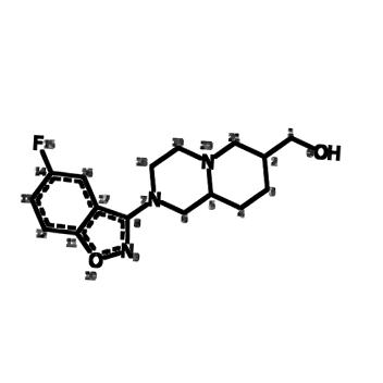 OCC1CCC2CN(c3noc4ccc(F)cc34)CCN2C1